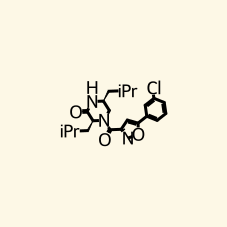 CC(C)C[C@H]1CN(C(=O)c2cc(-c3cccc(Cl)c3)on2)[C@@H](CC(C)C)C(=O)N1